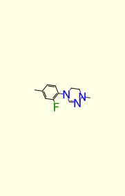 Cc1ccc(N2C=NN(C)CC2)c(F)c1